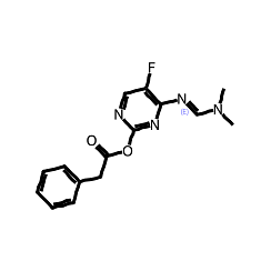 CN(C)/C=N/c1nc(OC(=O)Cc2ccccc2)ncc1F